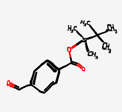 CC(C)(C)[Si](C)(C)OC(=O)c1ccc(C=O)cc1